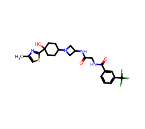 Cc1csc(C2(O)CCC(N3CC(NC(=O)CNC(=O)c4cccc(C(F)(F)F)c4)C3)CC2)n1